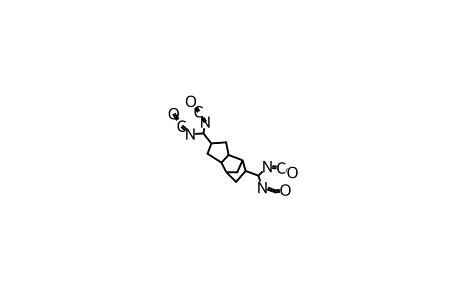 O=C=NC(N=C=O)C1CC2C3CC(C(N=C=O)N=C=O)C(C3)C2C1